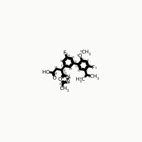 COc1cc(F)c(C(C)C)cc1-c1cc(F)cc(C(CC(=O)O)c2nnc(C)o2)c1